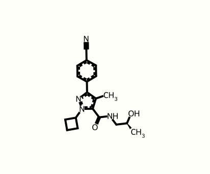 Cc1c(-c2ccc(C#N)cc2)nn(C2CCC2)c1C(=O)NC[C@H](C)O